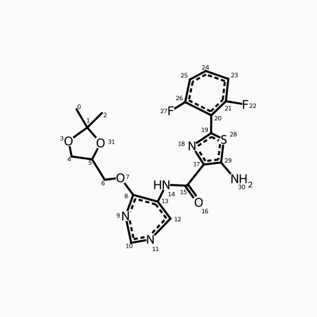 CC1(C)OCC(COc2ncncc2NC(=O)c2nc(-c3c(F)cccc3F)sc2N)O1